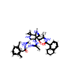 CCC(NC(=O)c1cccc2c1CCCC2)C(O)C1(C=N)C(NC(C)=N)[C@H](CNC(=O)c2c(C)cccc2C)NC2(CC2)C1C